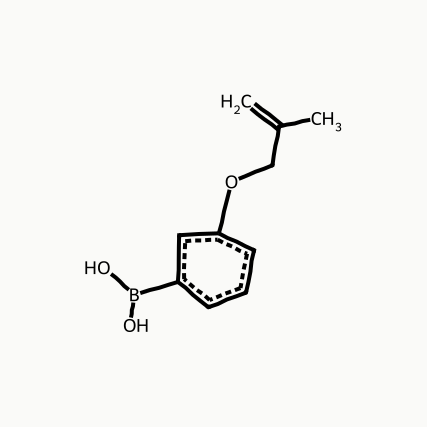 C=C(C)COc1cccc(B(O)O)c1